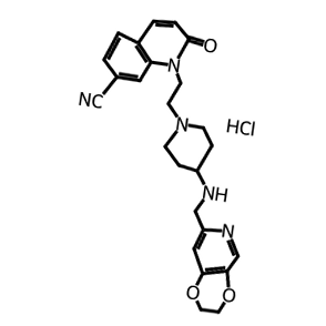 Cl.N#Cc1ccc2ccc(=O)n(CCN3CCC(NCc4cc5c(cn4)OCCO5)CC3)c2c1